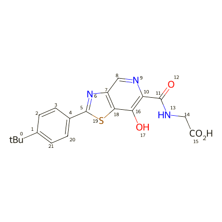 CC(C)(C)c1ccc(-c2nc3cnc(C(=O)NCC(=O)O)c(O)c3s2)cc1